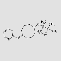 CC(C)(C)[Si](C)(C)OC1CCCC(=Cc2ccccn2)CCC1